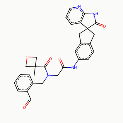 CC1(C(=O)N(CC(=O)Nc2ccc3c(c2)CC2(C3)C(=O)Nc3ncccc32)Cc2ccccc2C=O)COC1